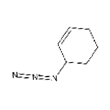 [N-]=[N+]=NC1C=CCCC1